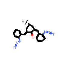 CC1C/C(=C/c2ccccc2N=[N+]=[N-])C(=O)/C(=C/c2ccccc2N=[N+]=[N-])C1